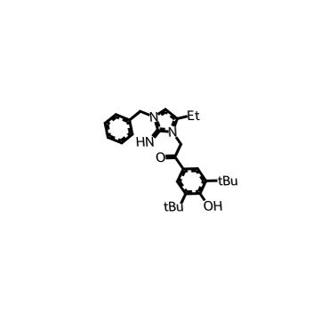 CCc1cn(Cc2ccccc2)c(=N)n1CC(=O)c1cc(C(C)(C)C)c(O)c(C(C)(C)C)c1